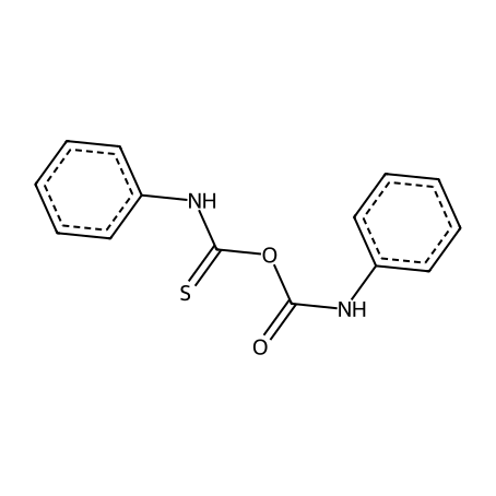 O=C(Nc1ccccc1)OC(=S)Nc1ccccc1